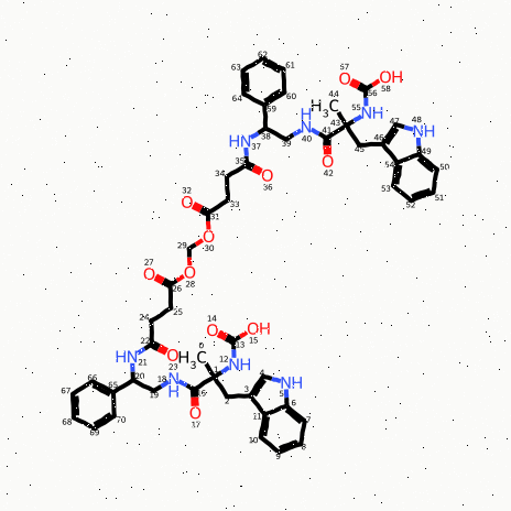 CC(Cc1c[nH]c2ccccc12)(NC(=O)O)C(=O)NCC(NC(=O)CCC(=O)OCOC(=O)CCC(=O)NC(CNC(=O)C(C)(Cc1c[nH]c2ccccc12)NC(=O)O)c1ccccc1)c1ccccc1